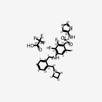 Cc1cc(NCc2ccccc2CN2CCC2)c(F)c(F)c1S(=O)(=O)Nc1cscn1.O=C(O)C(F)(F)F